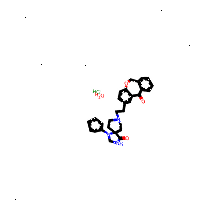 Cl.O.O=C1c2ccccc2COc2ccc(CCN3CCC4(CC3)C(=O)NCN4c3ccccc3)cc21